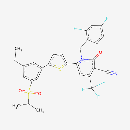 CCc1cc(-c2ccc(-c3cc(C(F)(F)F)c(C#N)c(=O)n3Cc3ccc(F)cc3F)s2)cc(S(=O)(=O)C(C)C)c1